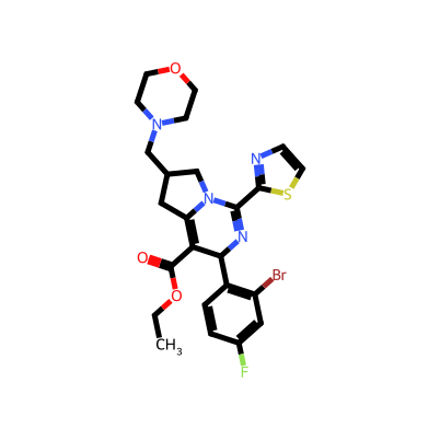 CCOC(=O)C1=C2CC(CN3CCOCC3)CN2C(c2nccs2)=NC1c1ccc(F)cc1Br